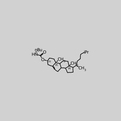 CCCCNC(=O)O[C@H]1CC[C@@]2(C)C(=CCC3C4CCC(C(C)CCCC(C)C)[C@@]4(C)CCC32)C1